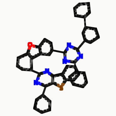 c1ccc(-c2cccc(-c3nc(-c4ccccc4)nc(-c4ccc5oc6cccc(-c7nc(-c8ccccc8)c8sc9ccccc9c8n7)c6c5c4)n3)c2)cc1